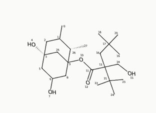 CC1C[C@]2(O)CC(O)CC(OC(=O)C(CO)(CC(C)(C)C)C(C)(C)C)(C2)[C@H]1C